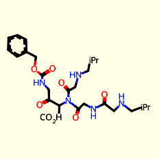 CC(C)CNCC(=O)NCC(=O)N(C(=O)CNCC(C)C)C(C(=O)O)C(=O)CNC(=O)OCc1ccccc1